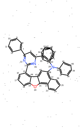 c1ccc(-c2cc(-c3ccccc3)nc(-c3cccc4oc5c6ccccc6c(N(c6ccccc6)c6ccccc6)cc5c34)n2)cc1